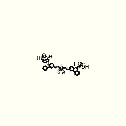 CCC(CC)(n1c2ccccc2c2cc(/C=C/c3sc(/C=C/c4ccc5c(c4)c4ccccc4n5CCP(=O)(O)O)c(OC)c3OC)ccc21)C(CC)(CC)P(=O)(O)O